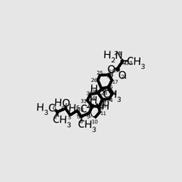 CC(C)[C@@H](O)CC[C@@H](C)[C@H]1CC[C@H]2[C@@H]3CC=C4C[C@@H](OC(=O)[C@H](C)N)CC[C@]4(C)[C@H]3CC[C@]12C